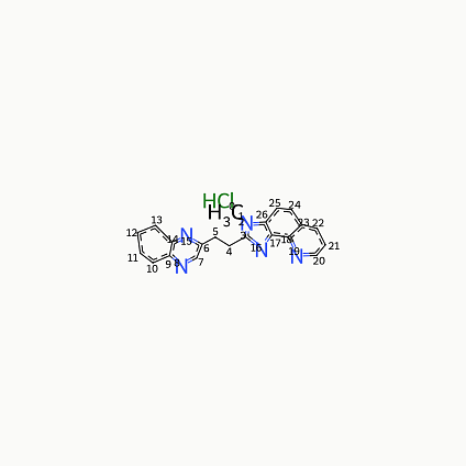 Cl.Cn1c(CCc2cnc3ccccc3n2)nc2c3ncccc3ccc21